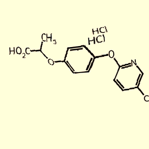 CC(Oc1ccc(Oc2ccc(C(F)(F)F)cn2)cc1)C(=O)O.Cl.Cl